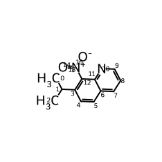 CC(C)c1ccc2cccnc2c1[N+](=O)[O-]